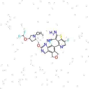 CN1CC(OC(F)F)C[C@H]1COc1ncc2c3c(c(-c4ncc(F)c5sc(N)c(C#N)c45)c(F)c2n1)COC3